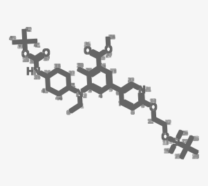 CCN(c1cc(-c2ccc(OCCO[Si](C)(C)C(C)(C)C)nc2)cc(C(=O)OC)c1C)C1CCC(NC(=O)OC(C)(C)C)CC1